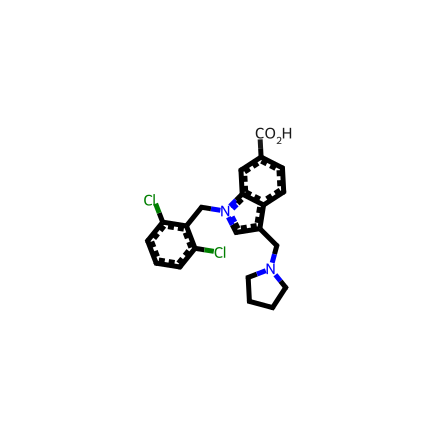 O=C(O)c1ccc2c(CN3CCCC3)cn(Cc3c(Cl)cccc3Cl)c2c1